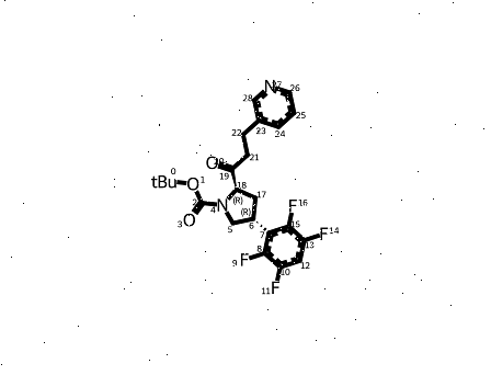 CC(C)(C)OC(=O)N1C[C@@H](c2c(F)c(F)cc(F)c2F)C[C@@H]1C(=O)CCc1cccnc1